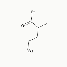 CCCCCCC(C)C(=O)CC